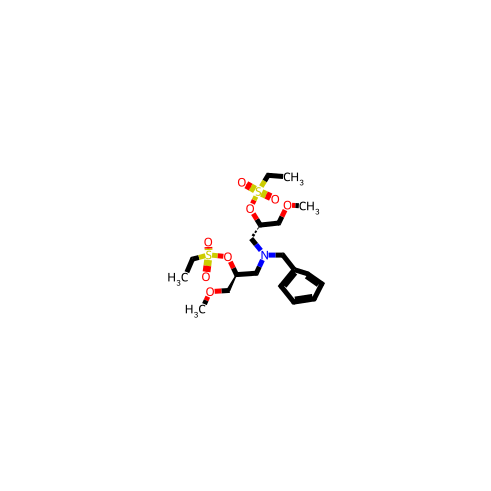 CCS(=O)(=O)O[C@H](COC)CN(Cc1ccccc1)C[C@@H](COC)OS(=O)(=O)CC